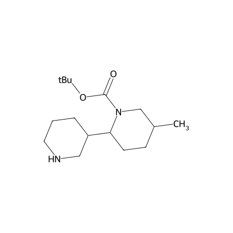 CC1CCC(C2CCCNC2)N(C(=O)OC(C)(C)C)C1